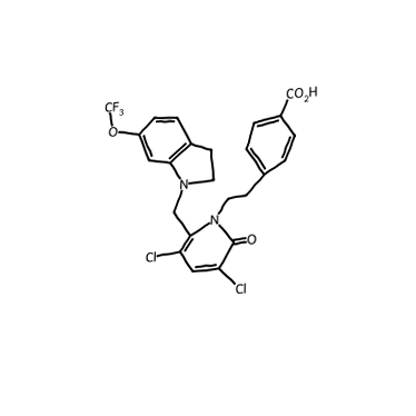 O=C(O)c1ccc(CCn2c(CN3CCc4ccc(OC(F)(F)F)cc43)c(Cl)cc(Cl)c2=O)cc1